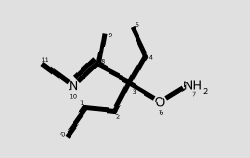 CCCC(CC)(ON)C(C)=NC